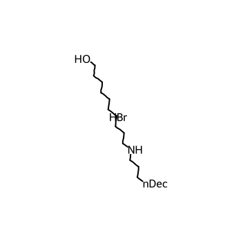 Br.CCCCCCCCCCCCCNCCCCCCCCCCO